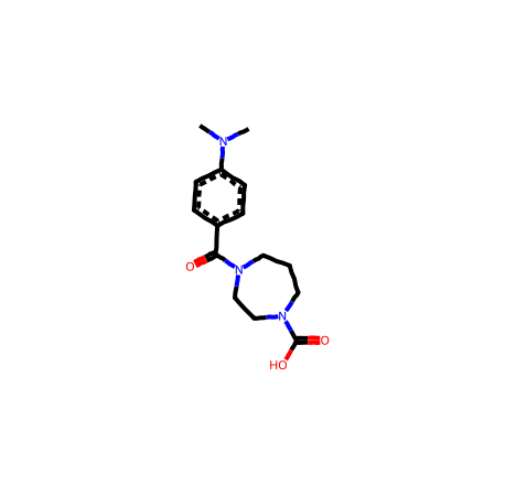 CN(C)c1ccc(C(=O)N2CCCN(C(=O)O)CC2)cc1